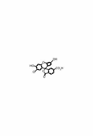 O=C(O)c1ccc2c(c1)C1(OC2=O)c2ccc(O)cc2Oc2cc(O)c(Cl)cc21